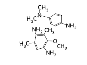 CN(C)c1ccc(N)cc1.COc1c(N)cc(C)c(N)c1C